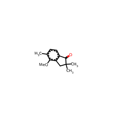 COc1c(C)ccc2c1CC(C)(C)C2=O